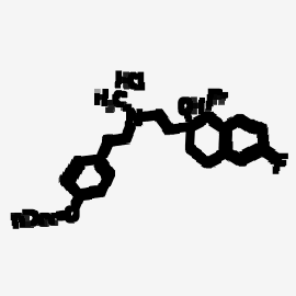 CCCCCCCCCCOc1ccc(CCN(C)CC[C@]2(O)CCc3cc(F)ccc3[C@H]2C(C)C)cc1.Cl